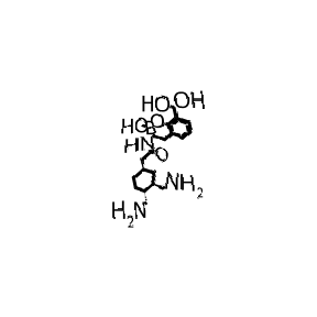 NC[C@@H]1CC[C@@H](CC(=O)N[C@H]2Cc3cccc(C(O)O)c3OB2O)C[C@H]1CN